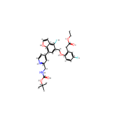 CCOC(=O)Cc1cc(F)ccc1OCc1cc(-c2ccnc(CNC(=O)OC(C)(C)C)c2)c2occc2c1F